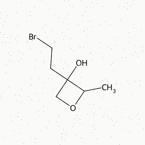 CC1OCC1(O)CCBr